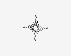 C=CCC[Si]1(C)O[Si](C)(OCC=C)O[Si](C)(OCC=C)O[Si](C)(OCC=C)O1